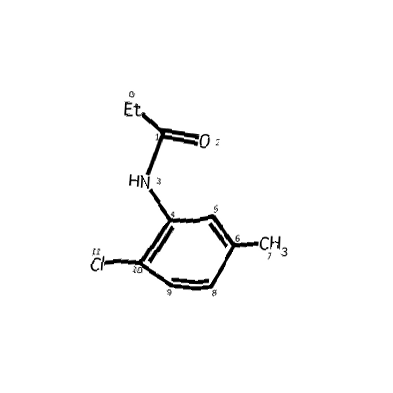 CCC(=O)Nc1cc(C)ccc1Cl